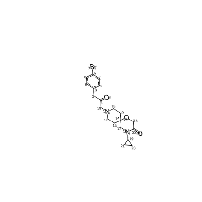 O=C(Cc1ccc(Br)cc1)CN1CCC2(CC1)CN(C1CC1)C(=O)CO2